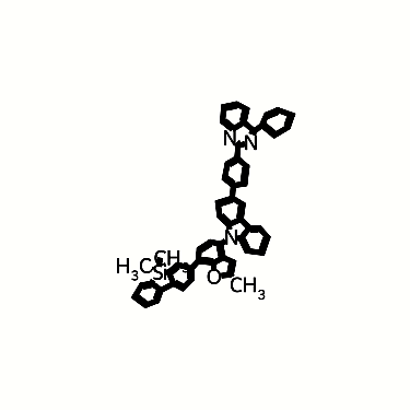 Cc1cc2c(-n3c4ccccc4c4cc(-c5ccc(-c6nc(-c7ccccc7)c7ccccc7n6)cc5)ccc43)ccc(-c3ccc4c(c3)[Si](C)(C)c3ccccc3-4)c2o1